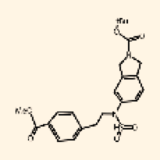 COC(=O)c1ccc(CCN(c2ccc3c(c2)CN(C(=O)OC(C)(C)C)C3)[SH](=O)=O)cc1